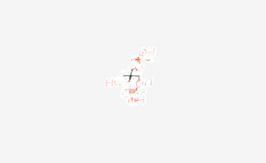 CP(=O)(O)OCC(CO)(CO)COP(C)(=O)O